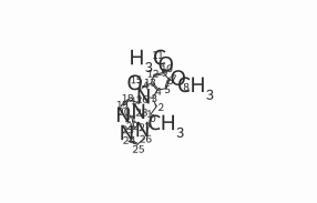 CCC[C@@H]1c2cc(OC)c(OC)cc2C(=O)N1c1ccnc(-c2ncccn2)n1